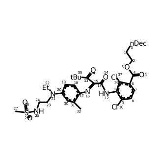 CCCCCCCCCCCCOC(=O)c1ccc(Cl)c(NC(=O)C(=Nc2ccc(N(CC)CCNS(C)(=O)=O)cc2C)C(=O)C(C)(C)C)c1Cl